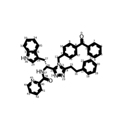 O=C(c1ccccc1)c1ccc(Cn2c(CCc3ccccc3)nnc2[C@@H](Cc2c[nH]c3ccccc23)NC(=O)c2ccccn2)cc1